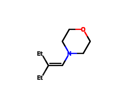 CCC(=CN1CCOCC1)CC